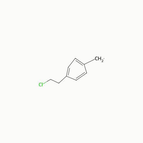 [CH2]c1ccc(CCCl)cc1